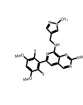 COc1cc(OC)c(F)c(-c2cc3cnc(SC)nc3c(NCc3cnn(C)c3)n2)c1F